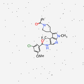 COc1cc(Cl)cc(C(=O)Nc2cnc3c(c(C4CCN(C(=O)C(C)C)CC4)cn3C)c2C(F)(F)F)c1